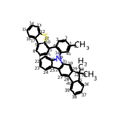 Cc1ccc(-c2cccc3c2sc2ccccc23)c(-n2c3ccccc3c3cc4c(cc32)C(C)(C)c2ccccc2-4)c1